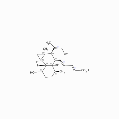 C/C(=C/C(C)C)[C@H]1[C@@H](/C=C/C=C/C(=O)O)[C@H]2[C@@H]([C@H]3C[C@]31C)[C@@H](O)CC[C@@H]2C